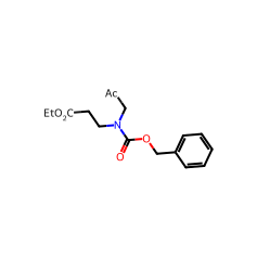 CCOC(=O)CCN(CC(C)=O)C(=O)OCc1ccccc1